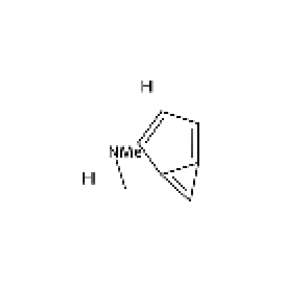 CNC.I.I.c1cc2cc-2c1